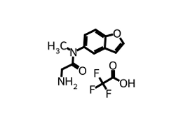 CN(C(=O)CN)c1ccc2occc2c1.O=C(O)C(F)(F)F